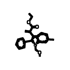 C=C(C(=O)OCC)c1c(-c2ccccc2)n(COC)c2cc(C)ccc12